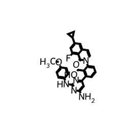 COc1ccc(Nc2nc(N)cc(-c3cccc(-n4ccc5cc(C6CC6)cc(F)c5c4=O)c3CO)n2)cc1